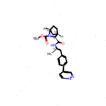 CC(C)(C)OC(=O)N1[C@@H]2CC[C@@H](C2)[C@H]1C(=O)N[C@H](C#N)Cc1ccc(-c2ccnnc2)cc1